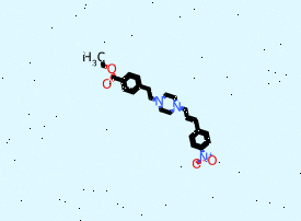 CCOC(=O)c1ccc(CCN2CCN(CC=Cc3ccc([N+](=O)[O-])cc3)CC2)cc1